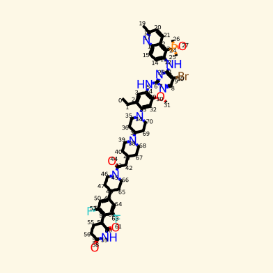 CCc1cc(Nc2ncc(Br)c(Nc3ccc4nc(C)ccc4c3P(C)(C)=O)n2)c(OC)cc1N1CCC(N2CCC(CC(=O)N3CCC(c4cc(F)c(C5CCC(=O)NC5=O)c(F)c4)CC3)CC2)CC1